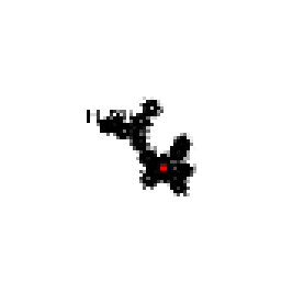 CC1(C)c2ccccc2-c2ccc(N(c3ccc(-c4ccccc4)cc3)c3ccc(-c4ccc5c(c4)c4cc(-c6ccc7ccccc7c6)ccc4n5-c4ccccc4-c4ccc5c6ccccc6c6ccccc6c5c4)cc3)cc21